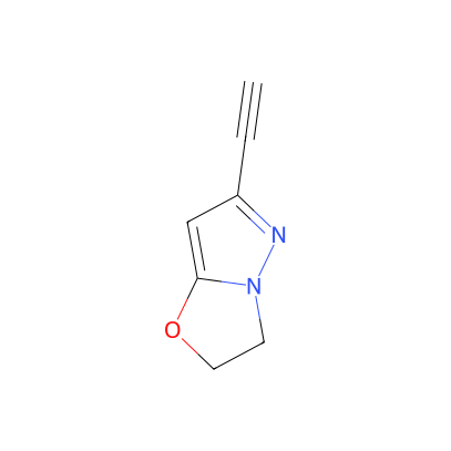 C#Cc1cc2n(n1)CCO2